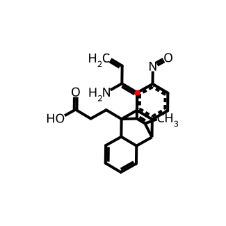 C=C/C(N)=C/C1=C(C)C2c3ccc(N=O)cc3C1(CCC(=O)O)C1C=CC=CC21